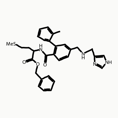 CSCCC(NC(=O)c1ccc(CNCc2c[nH]cn2)cc1-c1ccccc1C)C(=O)OCc1ccccc1